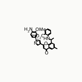 COc1cc(-n2cc(-c3cc(=O)c4cc(C)cc(C(C)Nc5ccccc5C(=O)O)c4o3)cn2)ccc1N